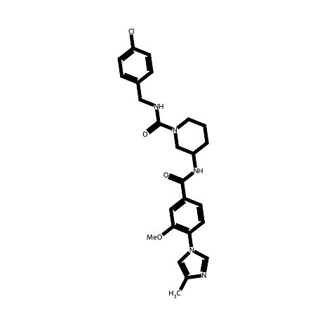 COc1cc(C(=O)NC2CCCN(C(=O)NCc3ccc(Cl)cc3)C2)ccc1-n1cnc(C)c1